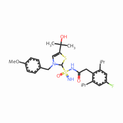 COc1ccc(CN2C=C(C(C)(C)O)SC2S(=N)(=O)NC(=O)Cc2c(C(C)C)cc(F)cc2C(C)C)cc1